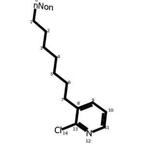 CCCCCCCCCCCCCCCCc1cccnc1Cl